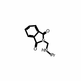 CC(C)NCN1C(=O)c2ccccc2C1=O